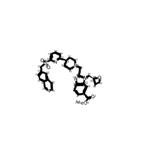 COC(=O)c1ccc2nc(CN3CCC(c4cccc(S(=O)(=O)Cc5ccc6cnccc6c5)n4)CC3)n(C[C@@H]3CCO3)c2c1